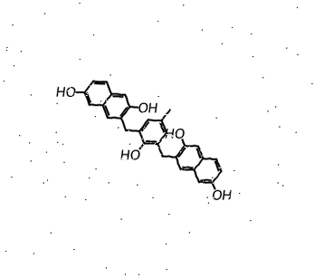 Cc1cc(Cc2cc3cc(O)ccc3cc2O)c(O)c(Cc2cc3cc(O)ccc3cc2O)c1